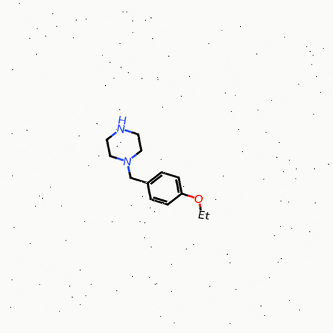 CCOc1ccc(CN2CCNCC2)cc1